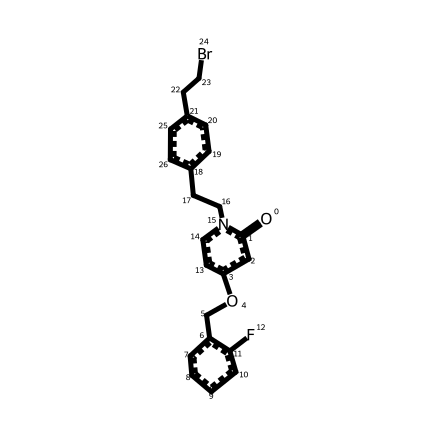 O=c1cc(OCc2ccccc2F)ccn1CCc1ccc(CCBr)cc1